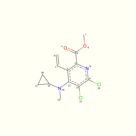 C=Cc1c(C(=O)OC)nc(Cl)c(Cl)c1N(C)C1CC1